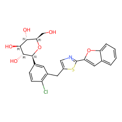 OC[C@H]1O[C@@H](c2ccc(Cl)c(Cc3cnc(-c4cc5ccccc5o4)s3)c2)[C@H](O)[C@@H](O)[C@@H]1O